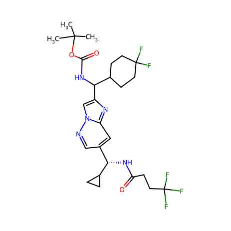 CC(C)(C)OC(=O)NC(c1cn2ncc([C@H](NC(=O)CCC(F)(F)F)C3CC3)cc2n1)C1CCC(F)(F)CC1